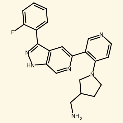 NCC1CCN(c2ccncc2-c2cc3c(-c4ccccc4F)n[nH]c3cn2)C1